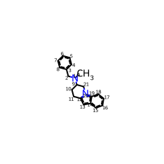 CN(Cc1ccccc1)C1CCc2cc3ccccc3n2C1